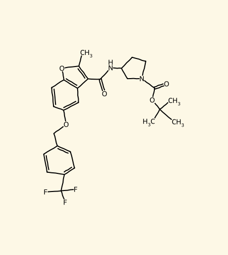 Cc1oc2ccc(OCc3ccc(C(F)(F)F)cc3)cc2c1C(=O)NC1CCN(C(=O)OC(C)(C)C)C1